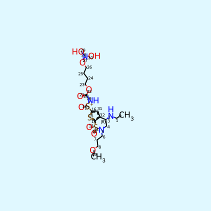 CCN[C@H]1CN(CCCOC)S(=O)(=O)c2sc([S+]([O-])NC(=O)OCCCCON(O)O)cc21